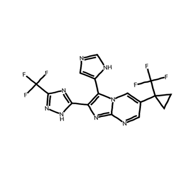 FC(F)(F)c1n[nH]c(-c2nc3ncc(C4(C(F)(F)F)CC4)cn3c2-c2cnc[nH]2)n1